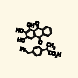 CC(C)Cc1ccc(C(C)C(=O)O)cc1.O=C1c2ccccc2C(=O)c2c1cc(O)c(O)c2O